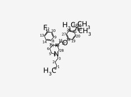 CCCCN1CC[C@H](c2ccc(F)cc2)[C@@H](COc2ccc(C(C)(C)C)cc2)C1